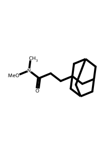 CON(C)C(=O)CCC12CC3CC(CC(C3)C1)C2